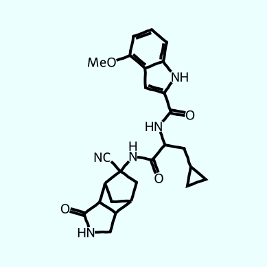 COc1cccc2[nH]c(C(=O)NC(CC3CC3)C(=O)NC3(C#N)CC4CC3C3C(=O)NCC43)cc12